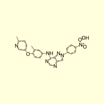 Cc1ccc(Oc2ccc(Nc3ncnc4cn(-c5ccc([N+](=O)OO)cc5)nc34)cc2C)cn1